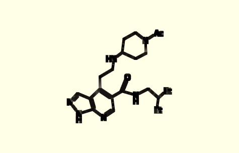 CCC(CC)CNC(=O)c1cnc2[nH]ncc2c1CCNC1CCN(C(C)=O)CC1